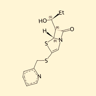 CC[C@H](O)[C@@H]1C(=O)N2C=C(SCc3ccccn3)S[C@H]12